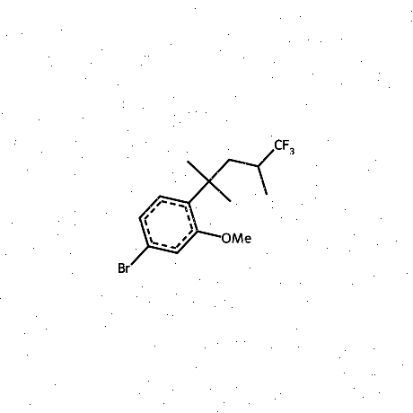 COc1cc(Br)ccc1C(C)(C)CC(C)C(F)(F)F